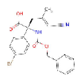 CC(=CC#N)C[C@](NC(=O)OCc1ccccc1)(C(=O)O)c1ccc(Br)cc1